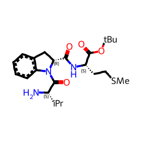 CSCC[C@H](NC(=O)[C@H]1Cc2ccccc2N1C(=O)[C@@H](N)C(C)C)C(=O)OC(C)(C)C